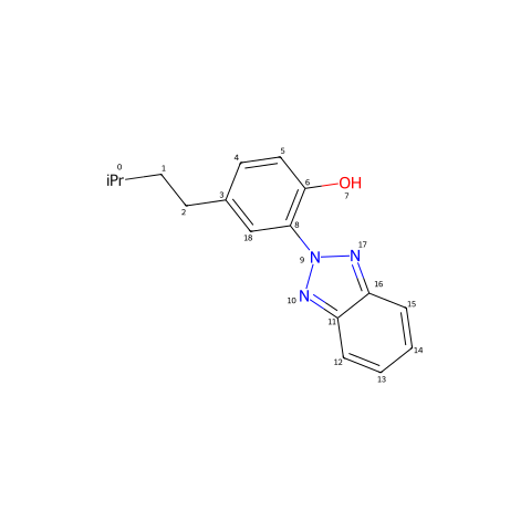 CC(C)CCc1ccc(O)c(-n2nc3ccccc3n2)c1